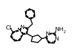 Nc1nccc(C2CCC(c3c(Cc4ccccc4)nn4c(Cl)cccc34)C2)n1